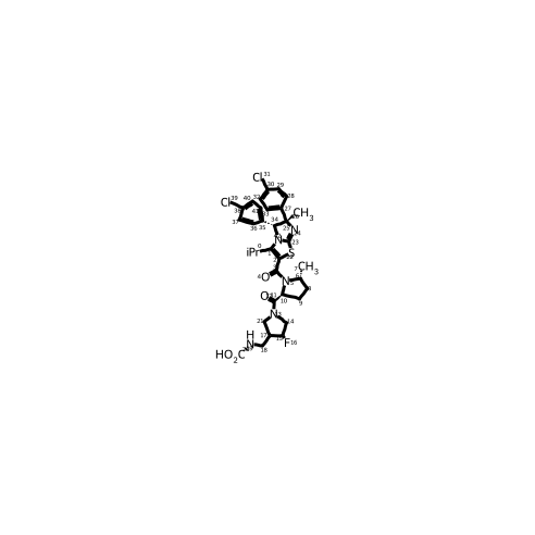 CC(C)C1=C(C(=O)N2[C@H](C)CC[C@H]2C(=O)N2CC(F)C(CNC(=O)O)C2)SC2=N[C@@](C)(c3ccc(Cl)cc3)[C@@H](c3ccc(Cl)cc3)N21